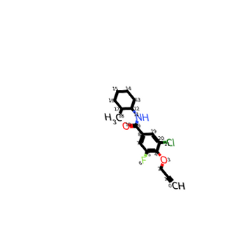 C#CCOc1c(F)cc(C(=O)NC2CCCCC2C)cc1Cl